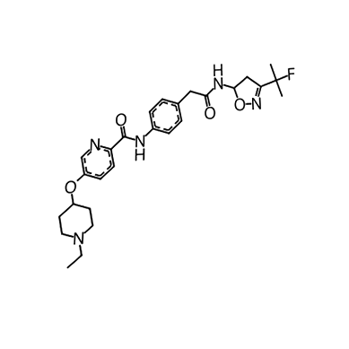 CCN1CCC(Oc2ccc(C(=O)Nc3ccc(CC(=O)NC4CC(C(C)(C)F)=NO4)cc3)nc2)CC1